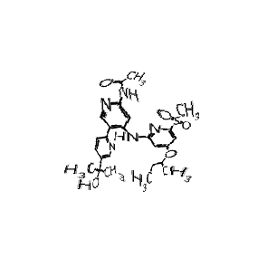 CCC(C)Oc1cc(Nc2cc(NC(C)=O)ncc2-c2ccc(C(C)(C)O)cn2)nc(S(C)(=O)=O)c1